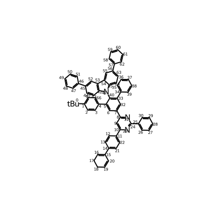 CC(C)(C)c1ccc(-c2cc(-c3cc(-c4ccc(C5=CCCC=C5)cc4)nc(-c4ccccc4)n3)cc(-c3ccccc3)c2-n2c3ccc(-c4ccccc4)cc3c3cc(-c4ccccc4)ccc32)cc1